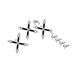 O.[Ga+3].[Ga+3].[Ga+3].[Ga+3].[O-][Si]([O-])([O-])[O-].[O-][Si]([O-])([O-])[O-].[O-][Si]([O-])([O-])[O-]